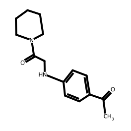 CC(=O)c1ccc(NCC(=O)N2CCCCC2)cc1